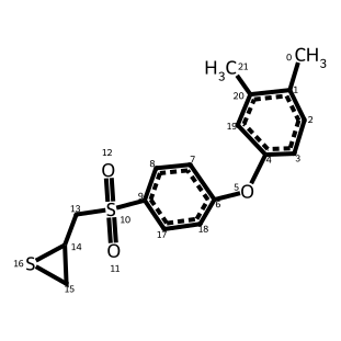 Cc1ccc(Oc2ccc(S(=O)(=O)CC3CS3)cc2)cc1C